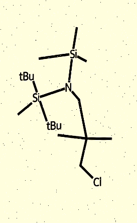 CC(C)(CCl)CN([Si](C)(C)C)[Si](C)(C(C)(C)C)C(C)(C)C